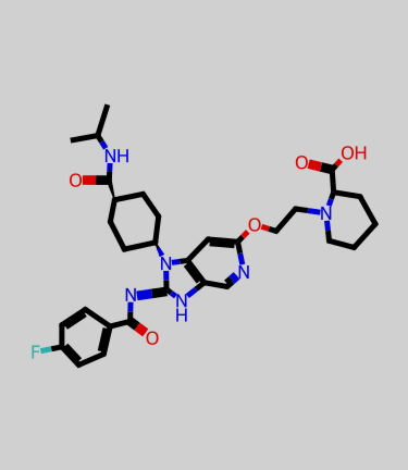 CC(C)NC(=O)[C@H]1CC[C@@H](n2/c(=N/C(=O)c3ccc(F)cc3)[nH]c3cnc(OCCN4CCCCC4C(=O)O)cc32)CC1